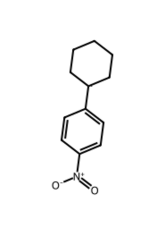 O=[N+]([O-])c1ccc([C]2CCCCC2)cc1